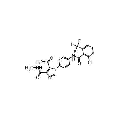 CNC(=O)c1ncn(-c2ccc(NC(=O)c3c(Cl)cccc3C(F)(F)F)cc2)c1C(N)=O